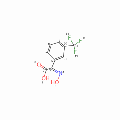 O=C(O)C(=NO)c1cccc(C(F)(F)F)c1